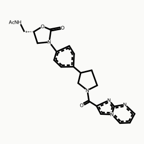 CC(=O)NC[C@H]1CN(c2ccc(C3CCN(C(=O)c4cn5cccnc5n4)C3)cc2)C(=O)O1